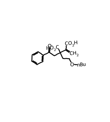 C=C(C(=O)O)C(CCOCCCC)(CC(=O)c1ccccc1)C(=O)O